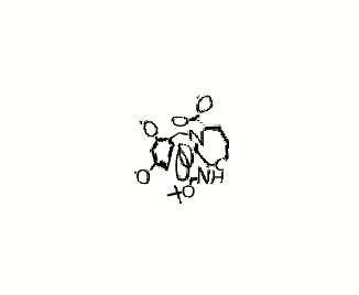 COC(=O)[C@@H]1C/C=C\C[C@H](NC(=O)OC(C)(C)C)C(=O)N1Cc1ccc(OC)cc1OC